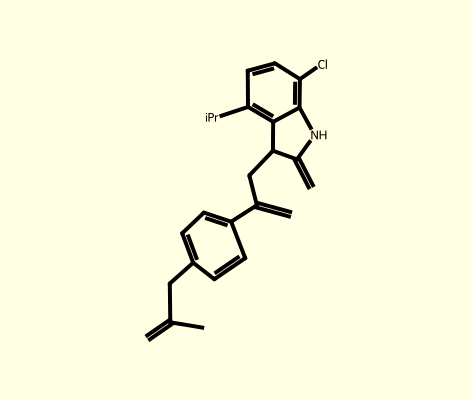 C=C(C)Cc1ccc(C(=C)CC2C(=C)Nc3c(Cl)ccc(C(C)C)c32)cc1